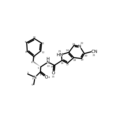 CN(C)C(=O)[C@H](Cc1ccccc1)NC(=O)c1cc2cc(C#N)ncc2[nH]1